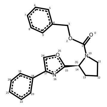 O=C(OCc1ccccc1)N1CCC[C@H]1c1nc(-c2ccccc2)co1